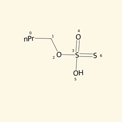 CCCCOS(=O)(O)=S